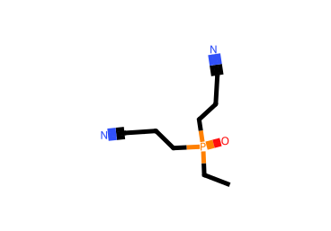 CCP(=O)(CCC#N)CCC#N